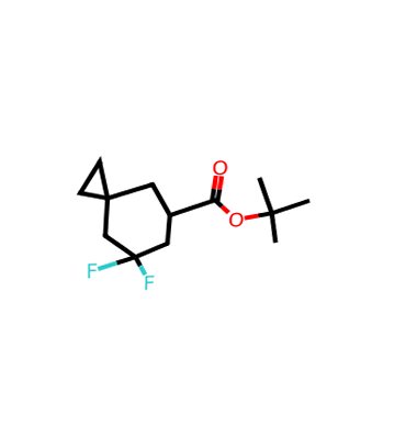 CC(C)(C)OC(=O)C1CC(F)(F)CC2(CC2)C1